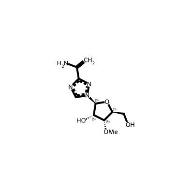 C=C(N)c1ncn([C@H]2O[C@@H](CO)[C@H](OC)[C@@H]2O)n1